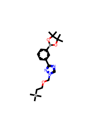 CC1(C)OB(c2cccc(-c3ncn(COCC[Si](C)(C)C)n3)c2)OC1(C)C